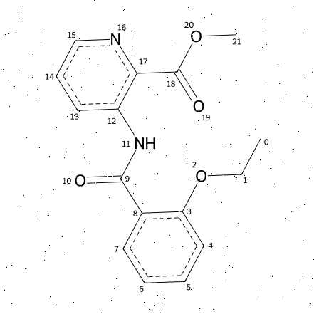 CCOc1ccccc1C(=O)Nc1cccnc1C(=O)OC